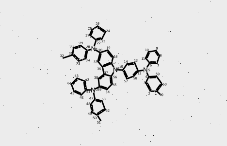 Cc1ccc(N(c2ccccc2)c2ccc(-n3c4ccc(N(c5ccccc5)c5ccc(C)cc5)cc4c4cc(N(c5ccccc5)c5ccc(C)cc5)ccc43)cc2)cc1